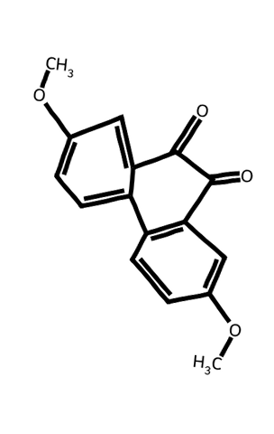 COc1ccc2c(c1)C(=O)C(=O)c1cc(OC)ccc1-2